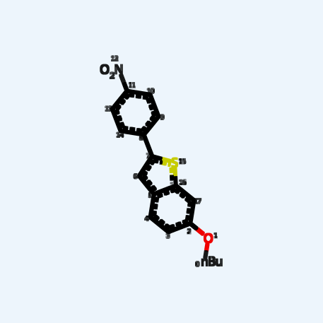 CCCCOc1ccc2cc(-c3ccc([N+](=O)[O-])cc3)sc2c1